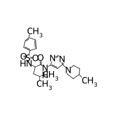 Cc1ccc(S(=O)(=O)NC(CC(C)C)C(=O)Nc2cc(N3CCC(C)CC3)ncn2)cc1